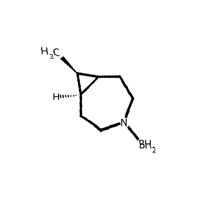 BN1CCC2[C@@H](CC1)[C@H]2C